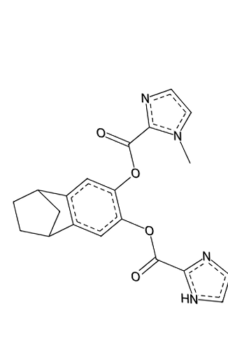 Cn1ccnc1C(=O)Oc1cc2c(cc1OC(=O)c1ncc[nH]1)C1CCC2C1